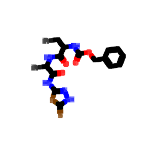 CC(C)CC(NC(=O)OCc1ccccc1)C(=O)NC(C(=O)Nc1n[nH]c(=S)s1)C(C)C